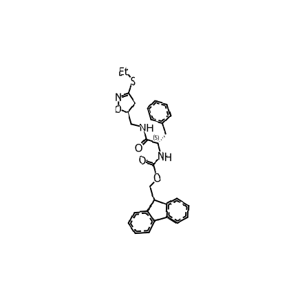 CCSC1=NOC(CNC(=O)[C@H](Cc2ccccc2)NC(=O)OCC2c3ccccc3-c3ccccc32)C1